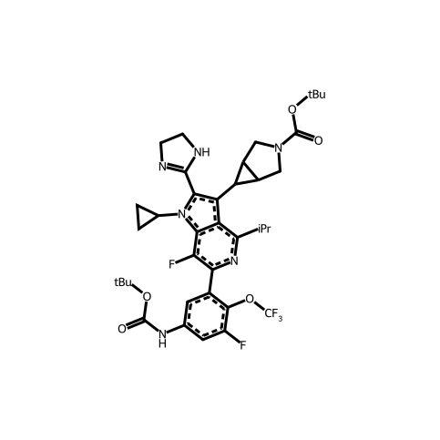 CC(C)c1nc(-c2cc(NC(=O)OC(C)(C)C)cc(F)c2OC(F)(F)F)c(F)c2c1c(C1C3CN(C(=O)OC(C)(C)C)CC31)c(C1=NCCN1)n2C1CC1